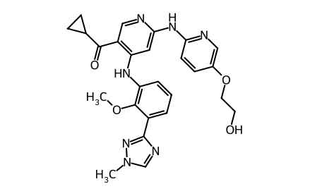 COc1c(Nc2cc(Nc3ccc(OCCO)cn3)ncc2C(=O)C2CC2)cccc1-c1ncn(C)n1